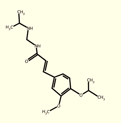 COc1cc(/C=C/C(=O)NCNC(C)C)ccc1OC(C)C